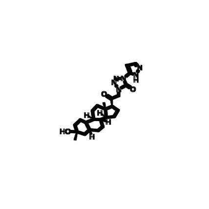 C[C@@]1(O)CCC2[C@H](CC[C@@H]3[C@@H]2CC[C@]2(C)[C@@H](C(=O)Cn4nnn(-c5ccn[nH]5)c4=O)CC[C@@H]32)C1